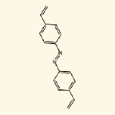 C=Cc1ccc(N=Nc2ccc(C=C)cc2)cc1